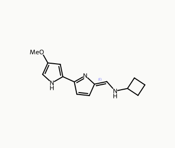 COc1c[nH]c(C2=N/C(=C/NC3CCC3)C=C2)c1